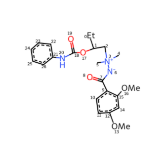 CCC(C[N+](C)(C)[N-]C(=O)c1ccc(OC)cc1OC)OC(=O)Nc1ccccc1